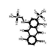 Nc1ccc(O)c2c1C(=O)c1c(O)c(S(=O)(=O)O)cc(NCS(=O)(=O)O)c1C2=O